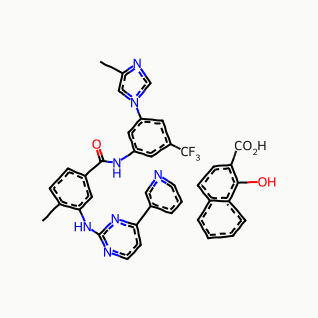 Cc1cn(-c2cc(NC(=O)c3ccc(C)c(Nc4nccc(-c5cccnc5)n4)c3)cc(C(F)(F)F)c2)cn1.O=C(O)c1ccc2ccccc2c1O